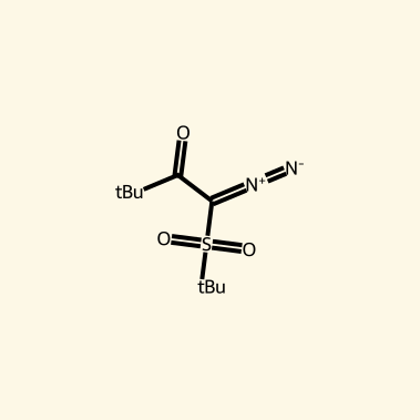 CC(C)(C)C(=O)C(=[N+]=[N-])S(=O)(=O)C(C)(C)C